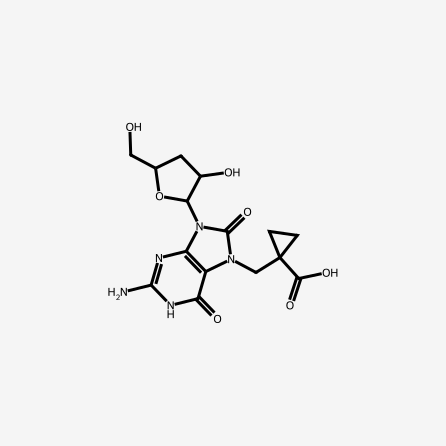 Nc1nc2c(c(=O)[nH]1)n(CC1(C(=O)O)CC1)c(=O)n2C1OC(CO)CC1O